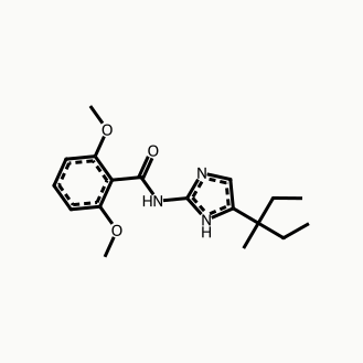 CCC(C)(CC)c1cnc(NC(=O)c2c(OC)cccc2OC)[nH]1